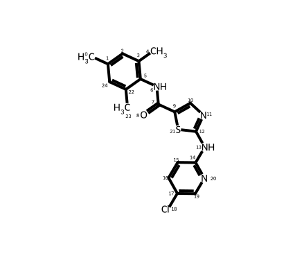 Cc1cc(C)c(NC(=O)c2cnc(Nc3ccc(Cl)cn3)s2)c(C)c1